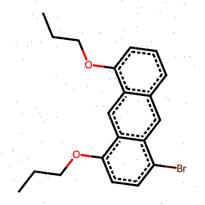 CCCOc1cccc2cc3c(Br)ccc(OCCC)c3cc12